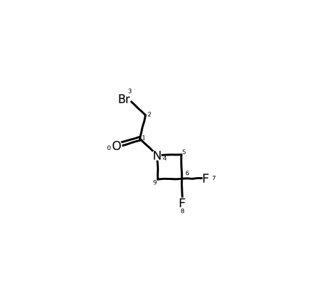 O=C(CBr)N1CC(F)(F)C1